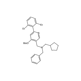 CCc1cccc(CC)c1-c1cc(OC)c(CN(Cc2ccccc2)CC2CCCC2)cn1